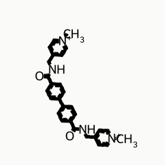 C[n+]1ccc(CNC(=O)c2ccc(-c3ccc(C(=O)NCc4cc[n+](C)cc4)cc3)cc2)cc1